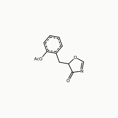 CC(=O)Oc1ccccc1CC1OC=NC1=O